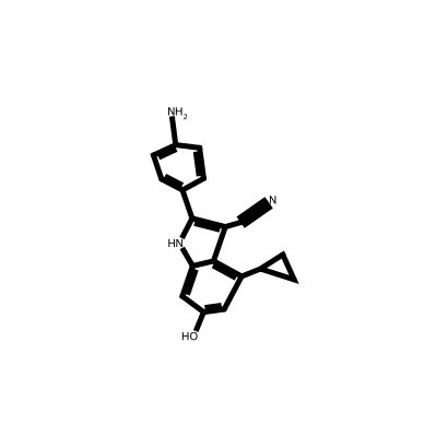 N#Cc1c(-c2ccc(N)cc2)[nH]c2cc(O)cc(C3CC3)c12